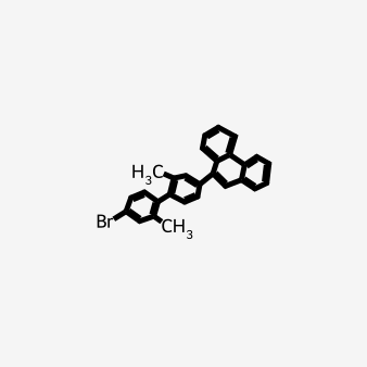 Cc1cc(Br)ccc1-c1ccc(-c2cc3ccccc3c3ccccc23)cc1C